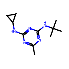 Cc1nc(NC2CC2)nc(NC(C)(C)C)n1